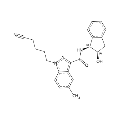 Cc1ccc2c(c1)c(C(=O)N[C@H]1c3ccccc3C[C@H]1O)nn2CCCCC#N